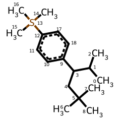 CC(C)C(CC(C)(C)C)c1ccc(S(C)(C)C)cc1